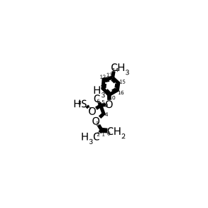 C=C(C)OCC(C)(OS)Oc1ccc(C)cc1